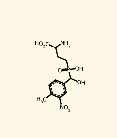 Cc1ccc(C(O)P(=O)(O)CC[C@H](N)C(=O)O)cc1[N+](=O)[O-]